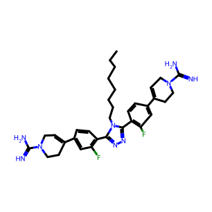 CCCCCCCCn1c(-c2ccc(C3=CCN(C(=N)N)CC3)cc2F)nnc1-c1ccc(C2=CCN(C(=N)N)CC2)cc1F